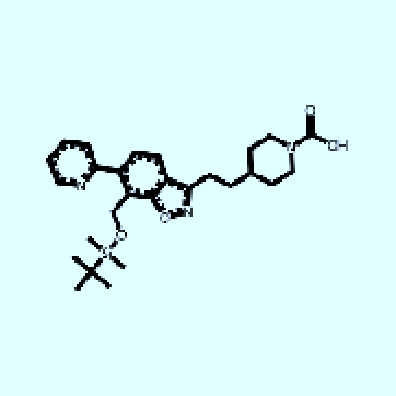 CC(C)(C)[Si](C)(C)OCc1c(-c2ccccn2)ccc2c(CCC3CCN(C(=O)O)CC3)noc12